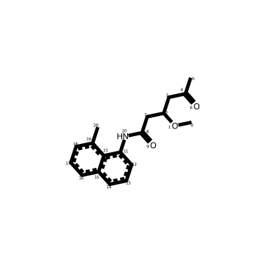 COC(CC(C)=O)CC(=O)Nc1cccc2cccc(C)c12